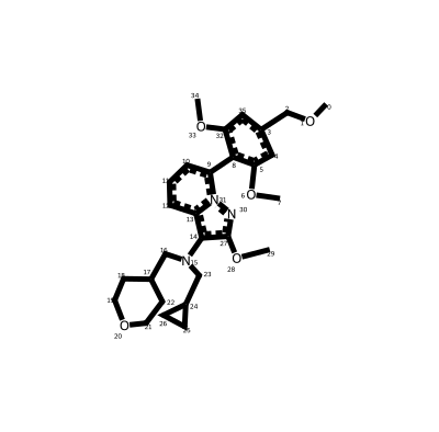 COCc1cc(OC)c(-c2cccc3c(N(CC4CCOCC4)CC4CC4)c(OC)nn23)c(OC)c1